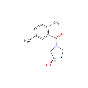 Cc1ccc(C)c(C(=O)N2CC[C@@H](O)C2)c1